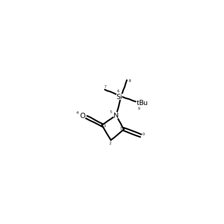 C=C1CC(=O)N1[Si](C)(C)C(C)(C)C